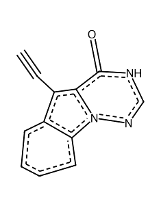 C#Cc1c2ccccc2n2nc[nH]c(=O)c12